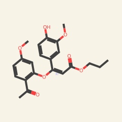 CCCOC(=O)/C=C(/Oc1cc(OC)ccc1C(C)=O)c1ccc(O)c(OC)c1